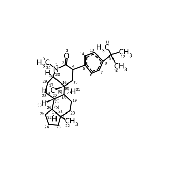 CN1C(=O)C(c2ccc(C(C)(C)C)cc2)C[C@]2(C)[C@H]3CC[C@]4(C)CCC[C@H]4[C@@H]3CC[C@@H]12